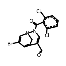 O=CC1=CN(C(=O)c2c(Cl)cccc2Cl)N2C=C(Br)C=C1C2